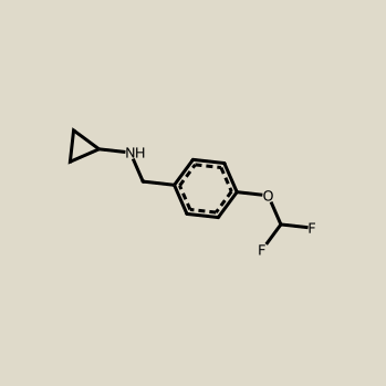 FC(F)Oc1ccc(CNC2CC2)cc1